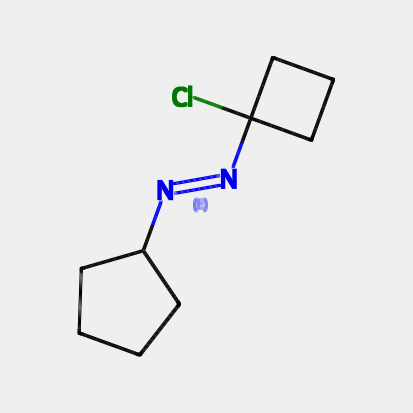 ClC1(/N=N/C2CCCC2)CCC1